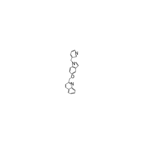 c1cncc(Cn2ccc3cc(OCc4ccc5ccccc5n4)ccc32)c1